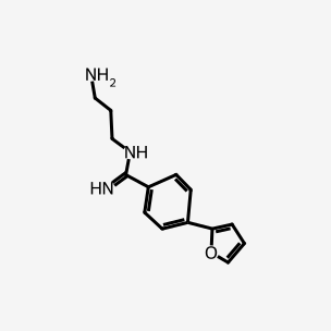 N=C(NCCCN)c1ccc(-c2ccco2)cc1